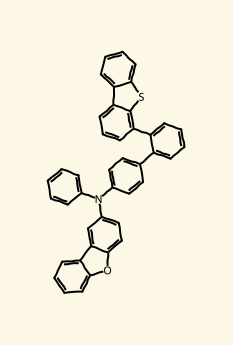 c1ccc(N(c2ccc(-c3ccccc3-c3cccc4c3sc3ccccc34)cc2)c2ccc3oc4ccccc4c3c2)cc1